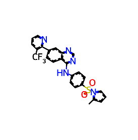 Cc1cccn1S(=O)(=O)c1ccc(Nc2ncnc3cc(-c4ncccc4C(F)(F)F)ccc23)cc1